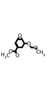 COCOC1CC(C(=O)OC)=CC2OC21